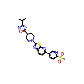 CC(C)c1noc(C2CCN(c3nc4ccc(-c5ccc(S(C)(=O)=O)nc5)nc4s3)CC2)n1